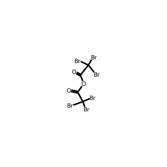 O=C(OC(=O)C(Br)(Br)Br)C(Br)(Br)Br